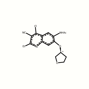 CCc1nc2cc(O[C@H]3CCOC3)c(NC(C)=O)cc2c(Cl)c1C#N